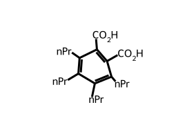 CCCc1c(CCC)c(CCC)c(C(=O)O)c(C(=O)O)c1CCC